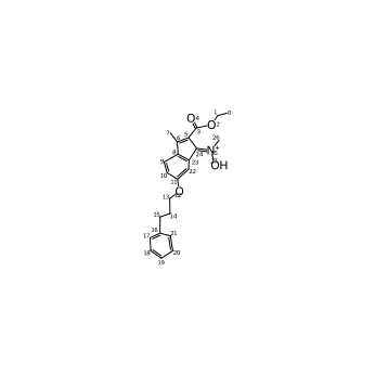 CCOC(=O)C1=C(C)c2ccc(OCCCc3ccccc3)cc2/C1=[N+](/C)O